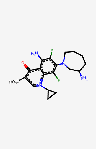 Nc1c(F)c(N2CCCC[C@@H](N)C2)c(F)c2c1c(=O)c(C(=O)O)cn2C1CC1